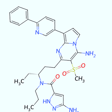 CCCN(C(=O)c1cc(N)n[nH]1)[C@H](CC)CCc1nc2c(-c3ccc(-c4ccccc4)nc3)ccn2c(N)c1S(C)(=O)=O